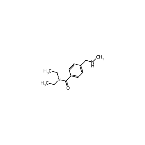 CCN(CC)C(=O)c1ccc(CNC)cc1